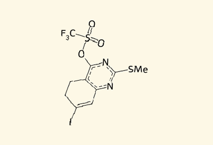 CSc1nc2c(c(OS(=O)(=O)C(F)(F)F)n1)CCC(I)=C2